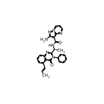 C/C=C/c1cccc2nc([C@H](C)NC(=O)c3c(N)nn4cccnc34)n(-c3ccccc3)c(=O)c12